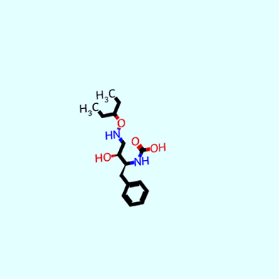 CCC(CC)ONC[C@H](O)[C@H](Cc1ccccc1)NC(=O)O